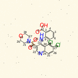 O=C(O)c1cccc(Cl)c1Nc1c(S(=O)(=O)N2CCOCC2)cnc2ccc(Cl)cc12